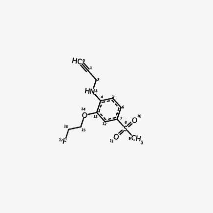 C#CCNc1ccc(S(C)(=O)=O)cc1OCCF